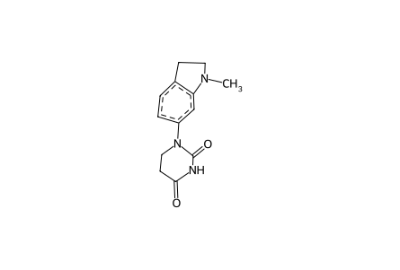 CN1CCc2ccc(N3CCC(=O)NC3=O)cc21